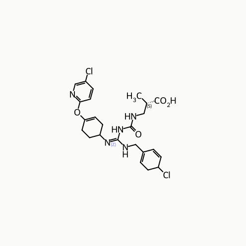 C[C@@H](CNC(=O)N/C(=N\C1CC=C(Oc2ccc(Cl)cn2)CC1)NCC1=CCC(Cl)C=C1)C(=O)O